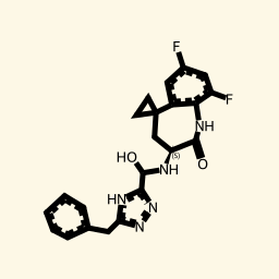 O=C1Nc2c(F)cc(F)cc2C2(CC2)C[C@@H]1NC(O)c1nnc(Cc2ccccc2)[nH]1